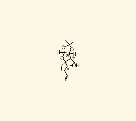 C=CC[C@H](O)[C@@]1(CC)O[C@@H]2OC(C)(C)O[C@@H]2[C@H]1C